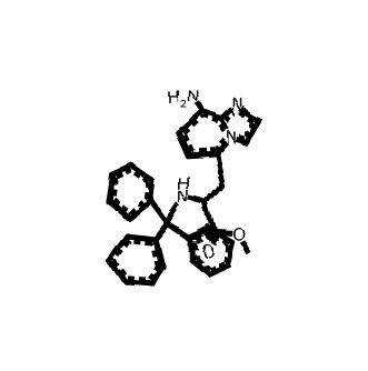 COC(=O)C(Cc1ccc(N)c2nccn12)NC(c1ccccc1)(c1ccccc1)c1ccccc1